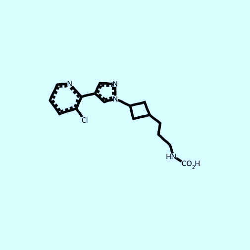 O=C(O)NCCCC1CC(n2cc(-c3ncccc3Cl)cn2)C1